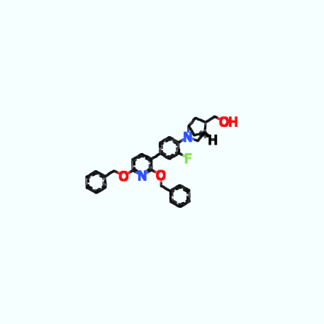 OCC1CC2C[C@H]1CN2c1ccc(-c2ccc(OCc3ccccc3)nc2OCc2ccccc2)cc1F